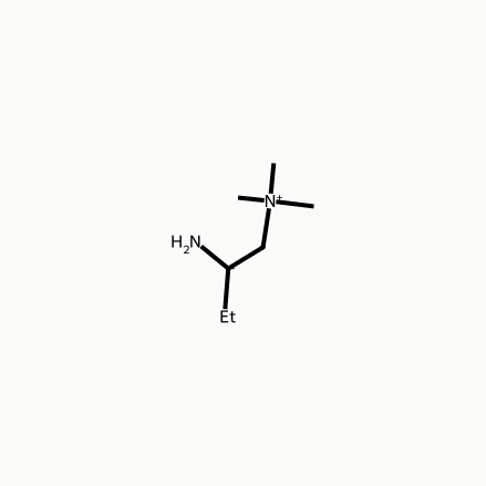 CC[C](N)C[N+](C)(C)C